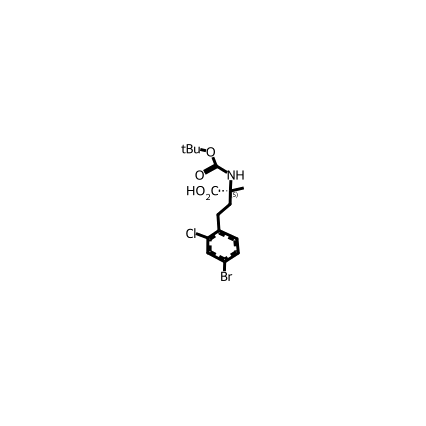 CC(C)(C)OC(=O)N[C@@](C)(CCc1ccc(Br)cc1Cl)C(=O)O